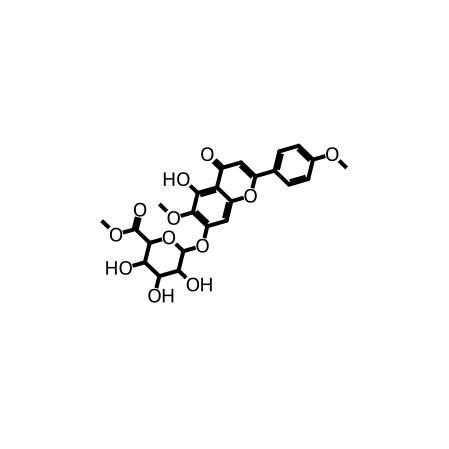 COC(=O)C1OC(Oc2cc3oc(-c4ccc(OC)cc4)cc(=O)c3c(O)c2OC)C(O)C(O)C1O